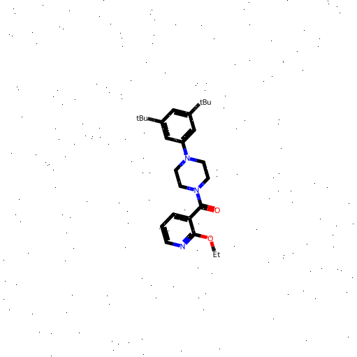 CCOc1ncccc1C(=O)N1CCN(c2cc(C(C)(C)C)cc(C(C)(C)C)c2)CC1